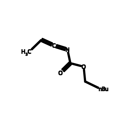 [CH2]CCCCOC(=O)N=C=CC